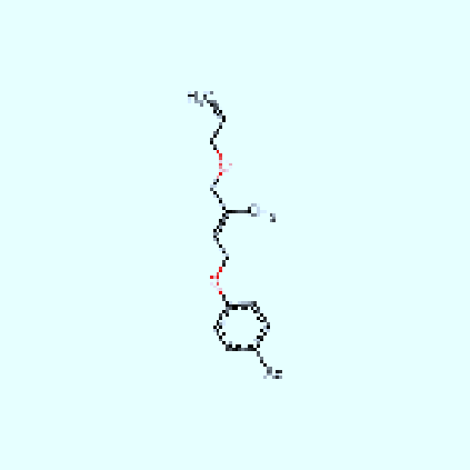 C=CCOC/C(C)=C/COc1ccc(C(C)=O)cc1